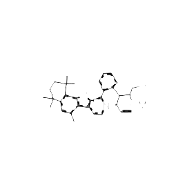 C=CC1C(C(CO)OC)c2ccccc2-c2c3oc4c5c(cc(C)c4c3cc[n+]21)C(C)(C)CCC5(C)C